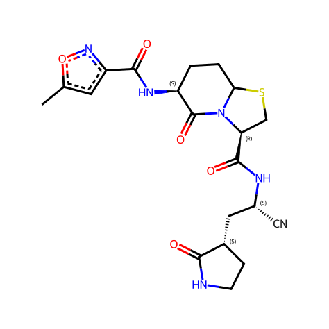 Cc1cc(C(=O)N[C@H]2CCC3SC[C@@H](C(=O)N[C@H](C#N)C[C@@H]4CCNC4=O)N3C2=O)no1